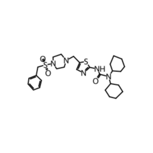 O=C(Nc1ncc(CN2CCN(S(=O)(=O)Cc3ccccc3)CC2)s1)N(C1CCCCC1)C1CCCCC1